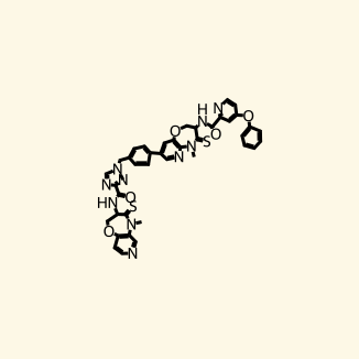 CN1C(=S)C(NC(=O)c2ncn(Cc3ccc(-c4cnc5c(c4)OCC(NC(=O)c4cc(Oc6ccccc6)ccn4)C(=S)N5C)cc3)n2)COc2ccncc21